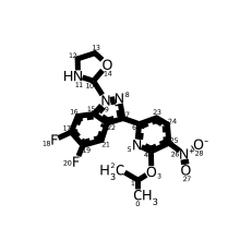 CC(C)Oc1nc(-c2nn(C3NCCO3)c3cc(F)c(F)cc23)ccc1[N+](=O)[O-]